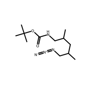 CC(CN=[N+]=[N-])CC(C)CNC(=O)OC(C)(C)C